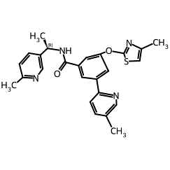 Cc1ccc(-c2cc(Oc3nc(C)cs3)cc(C(=O)N[C@H](C)c3ccc(C)nc3)c2)nc1